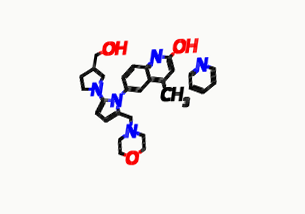 Cc1cc(O)nc2ccc(-n3c(CN4CCOCC4)ccc3N3CCC(CO)C3)cc12.c1ccncc1